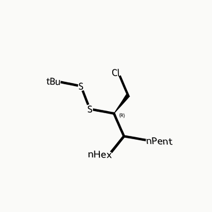 CCCCCCC(CCCCC)[C@H](CCl)SSC(C)(C)C